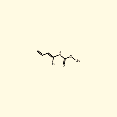 C=C/C=C(\CC)NC(=O)OC(C)(C)C